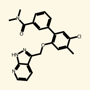 Cc1cc(OCc2n[nH]c3ncccc23)c(-c2cccc(C(=O)N(C)C)c2)cc1Cl